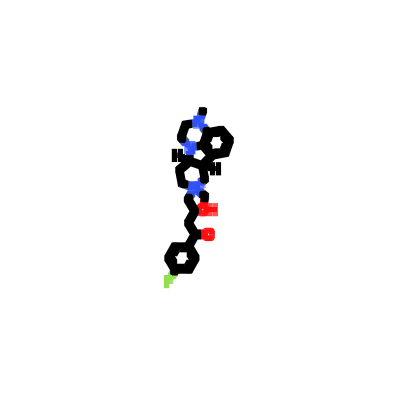 CN1CCN2c3c(cccc31)[C@@H]1C[N+](CO)(CCCC(=O)c3ccc(F)cc3)CC[C@@H]12